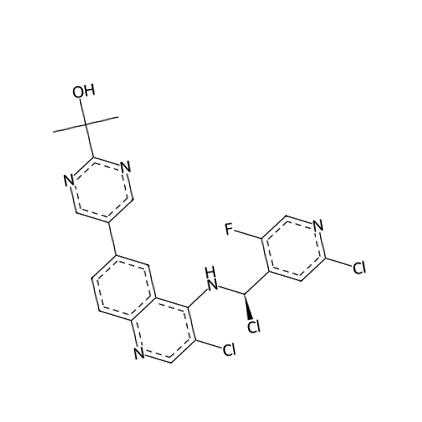 CC(C)(O)c1ncc(-c2ccc3ncc(Cl)c(N[C@H](Cl)c4cc(Cl)ncc4F)c3c2)cn1